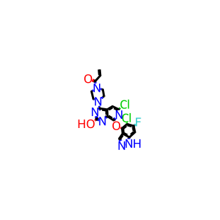 C=CC(=O)N1CCN(c2nc(O)nc3c(Oc4c(Cl)c(F)cc5[nH]ncc45)nc(Cl)cc23)CC1